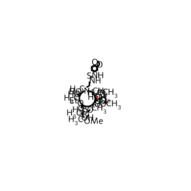 CC[C@H]1OC(=O)[C@H](C)[C@@H](O[C@@H](CCOC)O[C@@H](C)[C@@H](C)O)[C@H](C)[C@@H](O[C@@H]2O[C@H](C)C[C@H](N(C)C)[C@H]2O)[C@](C)(O)C[C@@H](C)CN(CCCNC(=S)Nc2ccc3c(c2)OCO3)[C@H](C)[C@@H](O)[C@]1(C)O